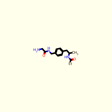 CCC(=O)NC(C)Cc1ccc(CNC(=O)CN)cc1